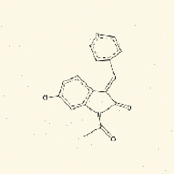 CC(=O)N1C(=O)/C(=C/c2ccncc2)c2ccc(Cl)cc21